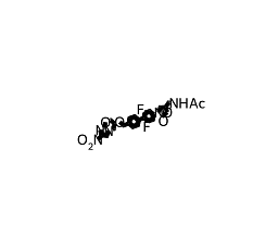 CC(=O)NCC1CN(c2cc(F)c(-c3ccc(COC4COc5nc([N+](=O)[O-])cn5C4)cc3)c(F)c2)C(=O)O1